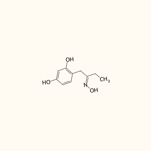 CCC(Cc1ccc(O)cc1O)=NO